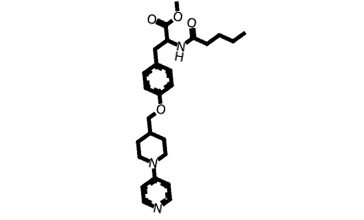 CCCCC(=O)NC(Cc1ccc(OCC2CCN(c3ccncc3)CC2)cc1)C(=O)OC